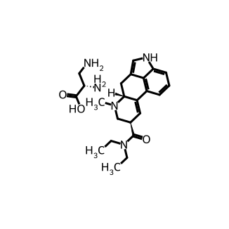 CCN(CC)C(=O)[C@@H]1C=C2c3cccc4[nH]cc(c34)C[C@H]2N(C)C1.NC[C@H](N)C(=O)O